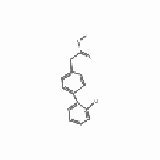 COC(=O)Cc1ccc(-c2ccccc2Cl)cc1